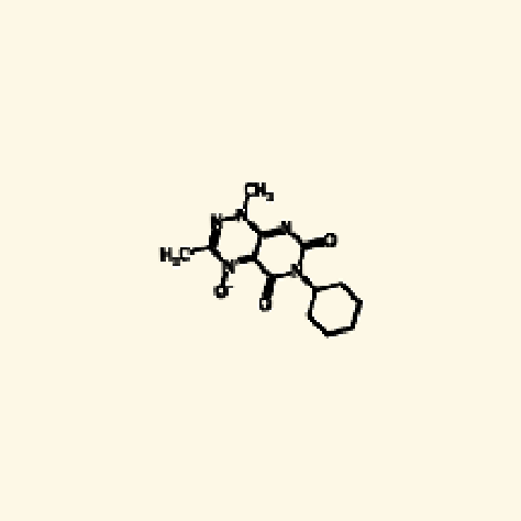 Cc1nn(C)c2nc(=O)n(C3CCCCC3)c(=O)c-2[n+]1[O-]